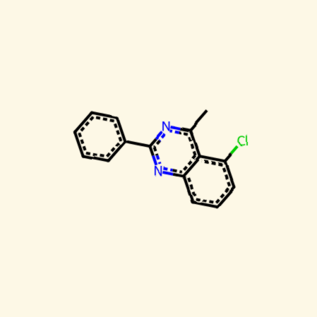 Cc1nc(-c2ccccc2)nc2cccc(Cl)c12